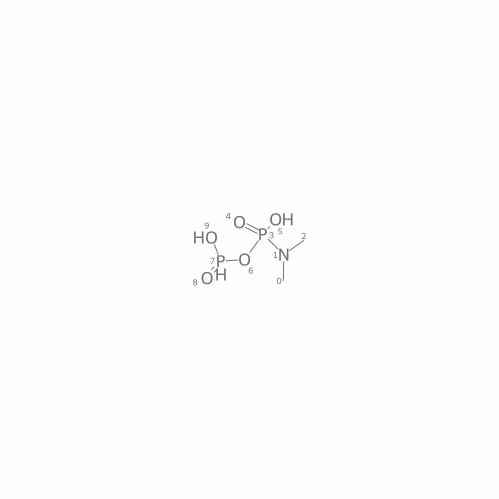 CN(C)P(=O)(O)O[PH](=O)O